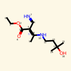 CCOC(=O)/C(C=N)=C(\C)NCCC(C)(C)O